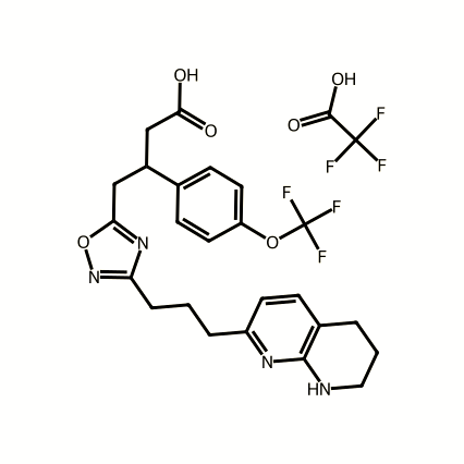 O=C(O)C(F)(F)F.O=C(O)CC(Cc1nc(CCCc2ccc3c(n2)NCCC3)no1)c1ccc(OC(F)(F)F)cc1